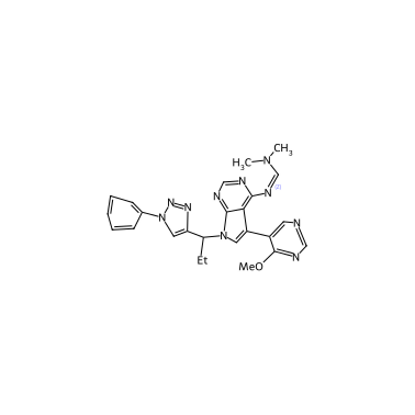 CCC(c1cn(-c2ccccc2)nn1)n1cc(-c2cncnc2OC)c2c(/N=C\N(C)C)ncnc21